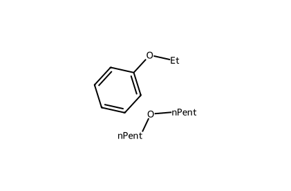 CCCCCOCCCCC.CCOc1ccccc1